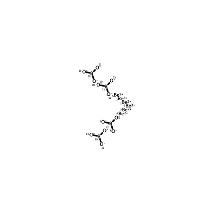 [Be+2].[Be+2].[Be+2].[Be+2].[Be+2].[Be+2].[O-]B([O-])[O-].[O-]B([O-])[O-].[O-]B([O-])[O-].[O-]B([O-])[O-]